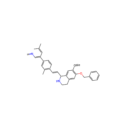 C=N/C=C(\C=C(C)C)c1ccc(/C=C/C2NCCc3cc(OCc4ccccc4)c(OC)cc32)c(C)c1